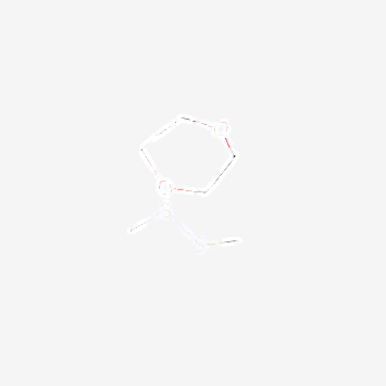 C1COCCO1.CSSC